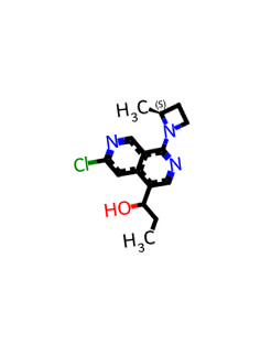 CCC(O)c1cnc(N2CC[C@@H]2C)c2cnc(Cl)cc12